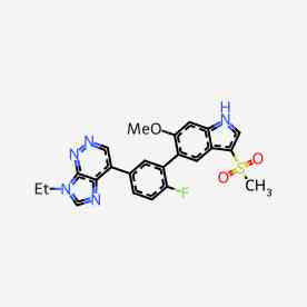 CCn1cnc2c(-c3ccc(F)c(-c4cc5c(S(C)(=O)=O)c[nH]c5cc4OC)c3)cnnc21